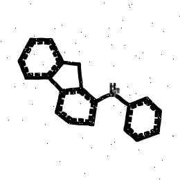 c1ccc([SiH2]c2cccc3c2Cc2ccccc2-3)cc1